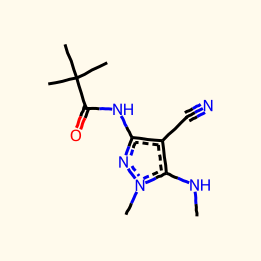 CNc1c(C#N)c(NC(=O)C(C)(C)C)nn1C